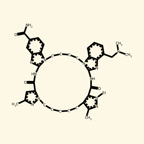 CCn1nc(C)c2c1C(=O)Nc1nc3c(CN(C)C)cccc3n1CCCCn1c(nc3cc(C(N)=O)ccc31)NC(=O)c1cc(C)nn1CCCCC2